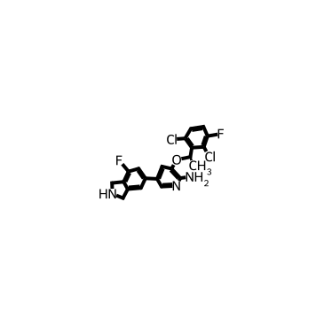 C[C@@H](Oc1cc(-c2cc(F)c3c(c2)CNC3)cnc1N)c1c(Cl)ccc(F)c1Cl